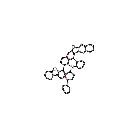 c1ccc(-c2ccc(N(c3ccccc3-c3cccc4c3oc3ccccc34)c3ccccc3-c3cccc4oc5cc6ccccc6cc5c34)cc2)cc1